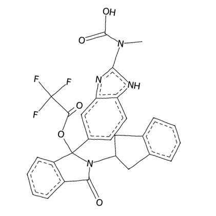 CN(C(=O)O)c1nc2cc(C3(OC(=O)C(F)(F)F)c4ccccc4C(=O)N3C3Cc4ccccc4C3)ccc2[nH]1